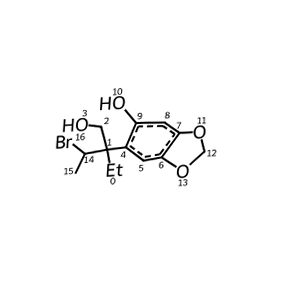 [CH2]CC(CO)(c1cc2c(cc1O)OCO2)C(C)Br